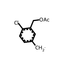 [CH2]c1ccc(Cl)c(COC(C)=O)c1